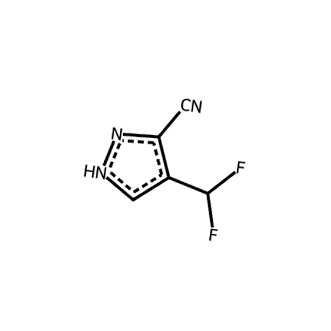 N#Cc1n[nH]cc1C(F)F